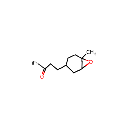 CC(C)C(=O)CCC1CCC2(C)OC2C1